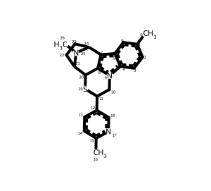 Cc1ccc2c(c1)c1c3n2CC(c2ccc(C)nc2)SC3C2CCC1N2C